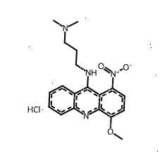 COc1ccc([N+](=O)[O-])c2c(NCCCN(C)C)c3ccccc3nc12.Cl